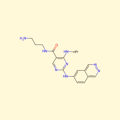 CCCNc1nc(Nc2ccc3cnncc3c2)ncc1C(=O)NCCCN